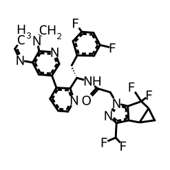 C=Nc1ncc(-c2cccnc2[C@H](Cc2cc(F)cc(F)c2)NC(=O)Cn2nc(C(F)F)c3c2C(F)(F)C2CC32)cc1/N=C\C